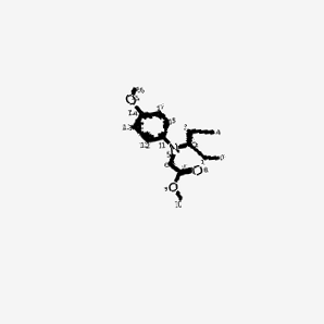 CCC(CC)N(CC(=O)OC)c1ccc(OC)cc1